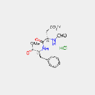 COC(=O)[C@H](Cc1ccccc1)NC(=O)[C@H](CC(=O)O)NC=O.Cl